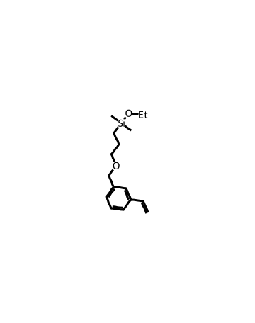 C=Cc1cccc(COCCC[Si](C)(C)OCC)c1